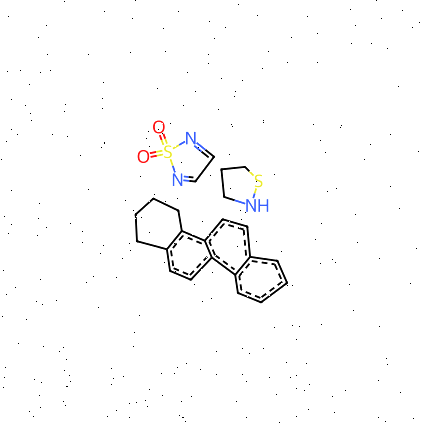 C1CNSC1.O=S1(=O)N=CC=N1.c1ccc2c(c1)ccc1c3c(ccc12)CCCC3